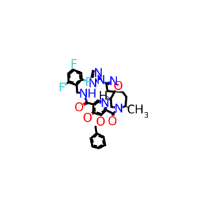 C[C@H]1CC[C@]2(CC(n3nccn3)=NO2)[C@H]2CN1C(=O)c1c(OCc3ccccc3)c(=O)c(C(=O)NCc3c(F)cc(F)cc3F)cn12